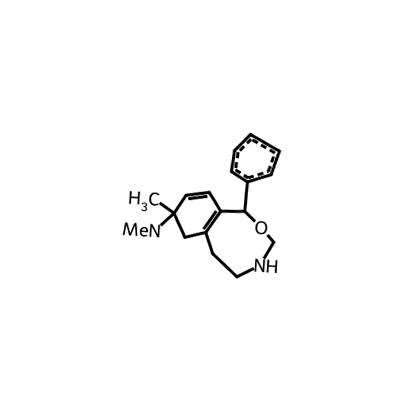 CNC1(C)C=CC2=C(CCNCOC2c2ccccc2)C1